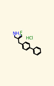 Cl.NCC(=CF)Cc1ccc(-c2ccccc2)cc1